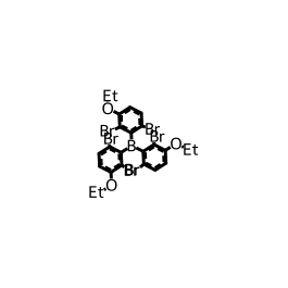 CCOc1ccc(Br)c(B(c2c(Br)ccc(OCC)c2Br)c2c(Br)ccc(OCC)c2Br)c1Br